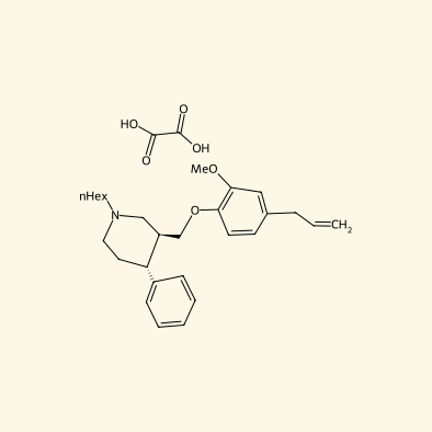 C=CCc1ccc(OC[C@@H]2CN(CCCCCC)CC[C@H]2c2ccccc2)c(OC)c1.O=C(O)C(=O)O